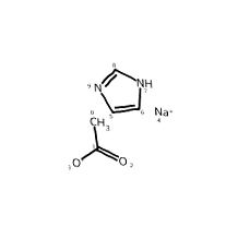 CC(=O)[O-].[Na+].c1c[nH]cn1